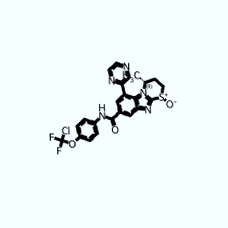 C[C@@H]1CC[S+]([O-])c2nc3cc(C(=O)Nc4ccc(OC(F)(F)Cl)cc4)cc(-c4cnccn4)c3n21